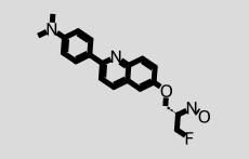 CN(C)c1ccc(-c2ccc3cc(OC[C@@H](CF)N=O)ccc3n2)cc1